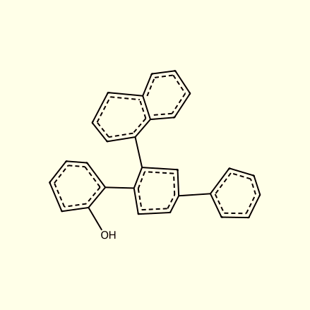 Oc1ccccc1-c1ccc(-c2ccccc2)cc1-c1cccc2ccccc12